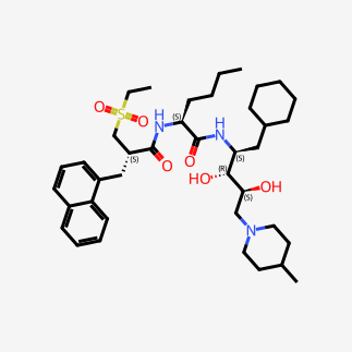 CCCC[C@H](NC(=O)[C@H](Cc1cccc2ccccc12)CS(=O)(=O)CC)C(=O)N[C@@H](CC1CCCCC1)[C@@H](O)[C@@H](O)CN1CCC(C)CC1